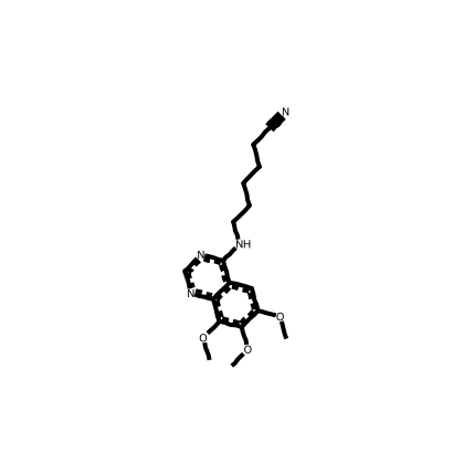 COc1cc2c(NCCCCCC#N)ncnc2c(OC)c1OC